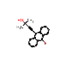 CC(C)(O)C#Cc1c2ccccc2c(Br)c2ccccc12